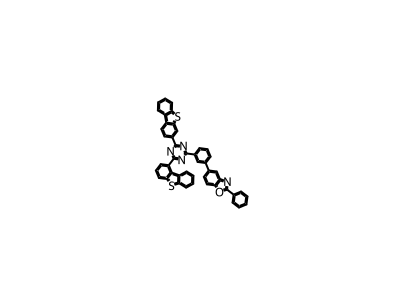 c1ccc(-c2nc3cc(-c4cccc(-c5nc(-c6ccc7c(c6)sc6ccccc67)nc(-c6cccc7sc8ccccc8c67)n5)c4)ccc3o2)cc1